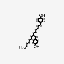 CCCCCCCC(CCCCCCc1ccc(O)cc1)Cc1ccc(O)cc1